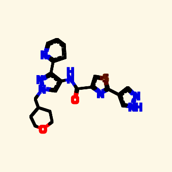 O=C(Nc1cn(CC2CCOCC2)nc1-c1ccccn1)c1csc(-c2cn[nH]c2)n1